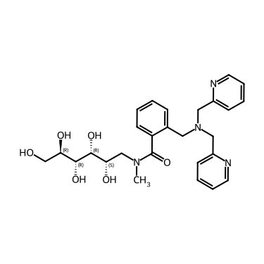 CN(C[C@H](O)[C@@H](O)[C@H](O)[C@H](O)CO)C(=O)c1ccccc1CN(Cc1ccccn1)Cc1ccccn1